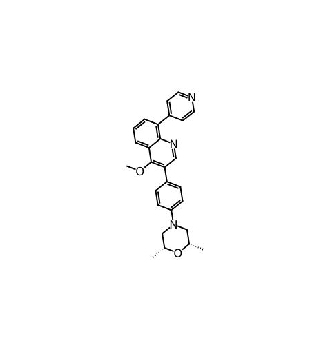 COc1c(-c2ccc(N3C[C@@H](C)O[C@@H](C)C3)cc2)cnc2c(-c3ccncc3)cccc12